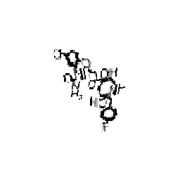 NC(=O)Nc1cc(Cl)ccc1OCCC(=O)C1(O)CCNC(O)(Cc2ccc(F)cc2)CC1